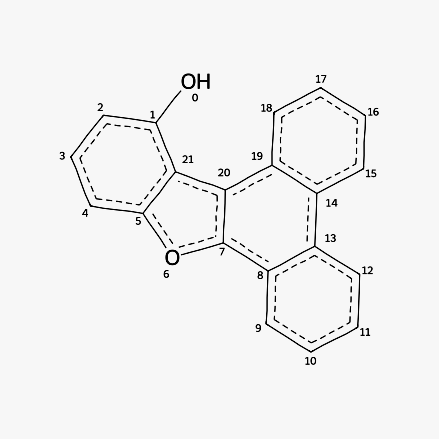 Oc1cccc2oc3c4ccccc4c4ccccc4c3c12